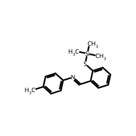 Cc1ccc(N=Cc2ccccc2S[Si](C)(C)C)cc1